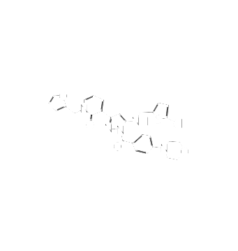 O=C(c1ccc(N2CCOCC2)cc1)n1nc(-c2cccn(Cc3ccco3)c2=O)cc1NCc1ccc(Cl)s1